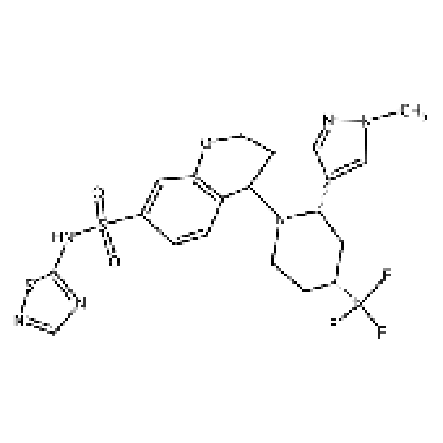 Cn1cc([C@@H]2C[C@H](C(F)(F)F)CCN2C2CCOc3cc(S(=O)(=O)Nc4ncns4)ccc32)cn1